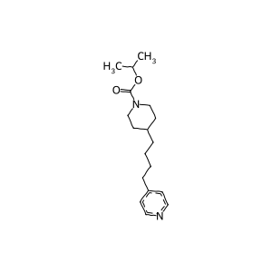 CC(C)OC(=O)N1CCC(CCCCc2ccncc2)CC1